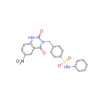 O=c1[nH]c2ccc([N+](=O)[O-])cc2c(=O)n1Cc1ccc(S(=O)(=O)Nc2ccccc2)cc1